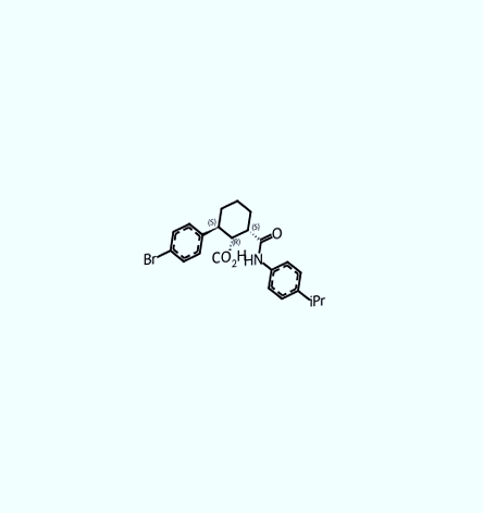 CC(C)c1ccc(NC(=O)[C@H]2CCC[C@H](c3ccc(Br)cc3)[C@H]2C(=O)O)cc1